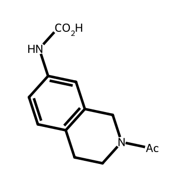 CC(=O)N1CCc2ccc(NC(=O)O)cc2C1